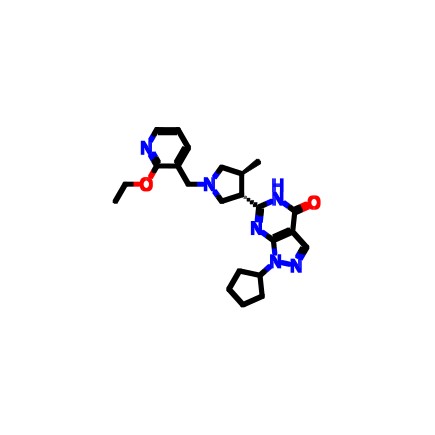 CCOc1ncccc1CN1C[C@@H](C)[C@H](c2nc3c(cnn3C3CCCC3)c(=O)[nH]2)C1